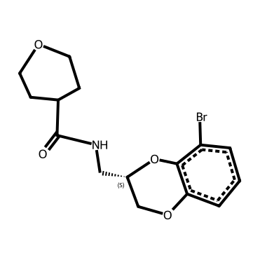 O=C(NC[C@H]1COc2cccc(Br)c2O1)C1CCOCC1